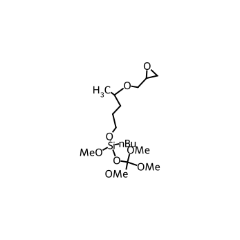 CCCC[Si](OC)(OCCCC(C)OCC1CO1)OC(OC)(OC)OC